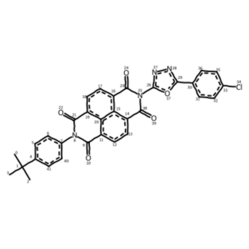 CC(C)(C)c1ccc(N2C(=O)c3ccc4c5c(ccc(c35)C2=O)C(=O)N(c2nnc(-c3ccc(Cl)cc3)o2)C4=O)cc1